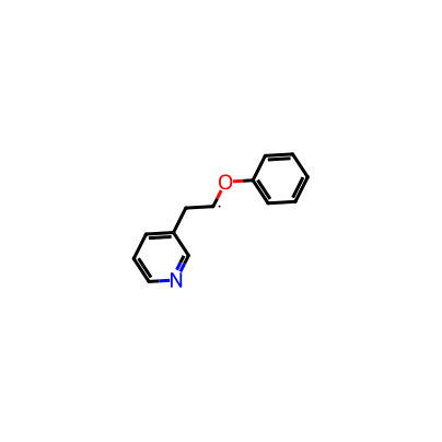 [CH](Cc1cccnc1)Oc1ccccc1